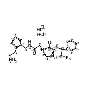 Cl.Cl.NCCc1ccccc1CNC(=O)Cn1ccnc(NC([c+]2cccc[nH]2)C(F)F)c1=O.[Cl-]